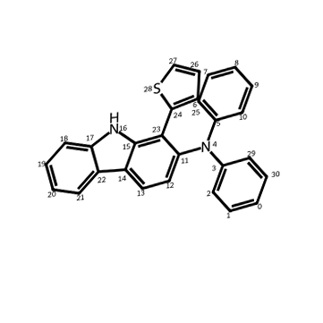 c1ccc(N(c2ccccc2)c2ccc3c([nH]c4ccccc43)c2-c2cccs2)cc1